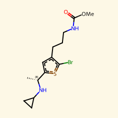 COC(=O)NCCCc1cc([C@@H](C)NC2CC2)sc1Br